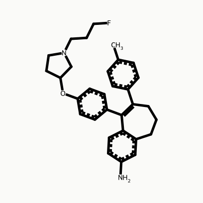 Cc1ccc(C2=C(c3ccc(OC4CCN(CCCF)C4)cc3)c3ccc(N)cc3CCC2)cc1